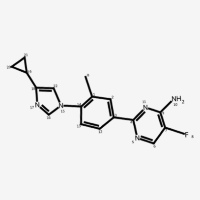 Cc1cc(-c2ncc(F)c(N)n2)ccc1-n1cnc(C2CC2)c1